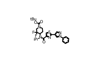 CC(C)N(C(=O)c1csc(-c2cnn(-c3ccccc3)c2)n1)C1CCN(C(=O)OC(C)(C)C)CC1(F)F